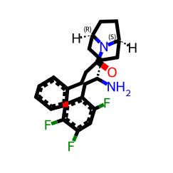 NC(Cc1cc(F)c(F)cc1F)[C@@H]1C[C@H]2CC[C@@H](C1)N2C(=O)CCc1ccccc1